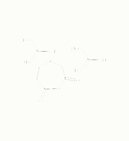 C=C(C)C(=O)O.C=C(C)C(=O)O.O=C1CCCCC(=O)O1